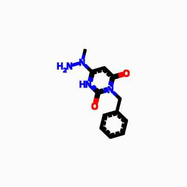 CN(N)c1cc(=O)n(Cc2ccccc2)c(=O)[nH]1